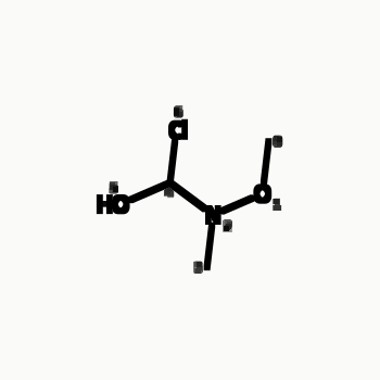 CON(C)C(O)Cl